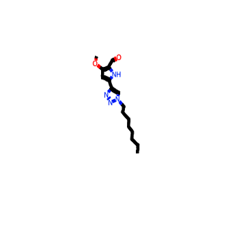 CCCCCCCCn1cc(-c2cc(OC)c(C=O)[nH]2)nn1